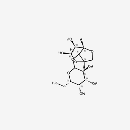 OC[C@@H]1OC(O[C@H]2[C@H]3OC[C@@H]2O[C@@H](O)[C@H]3O)[C@@H](O)[C@H](O)[C@@H]1O